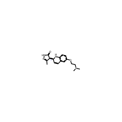 CC1=NNC(=O)/C1=C1/C=Cc2cc(OCCN(C)C)ccc2N1